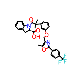 Cc1oc(-c2ccc(C(F)(F)F)cc2)nc1COc1cccc(C(C)(C)C(=O)N2c3ccccc3C[C@@H]2C(=O)O)c1